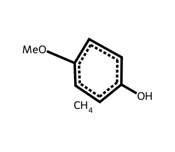 C.COc1ccc(O)cc1